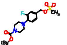 CC(C)(C)OC(=O)N1CCN(c2ccc(COS(C)(=O)=O)cc2F)CC1